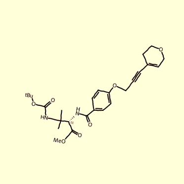 COC(=O)[C@@H](NC(=O)c1ccc(OCC#CC2=CCOCC2)cc1)C(C)(C)NC(=O)OC(C)(C)C